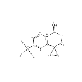 O[C@H]1COC2(CC2)c2cc(C(F)(F)F)ccc21